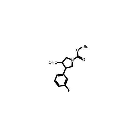 CC(C)(C)OC(=O)N1CC(C=O)C(c2cccc(F)c2)C1